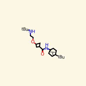 CC(C)(C)NCCOC1CC(C(=O)NC23CCC(C(C)(C)C)(CC2)CC3)C1